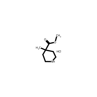 COC(=O)C1(C)CCNCC1.Cl